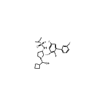 CN(C)S(=O)(=O)N[C@H]1CCN(C(O)C2CCC2)[C@H]1Cc1cc(F)cc(-c2cccc(F)c2)c1F